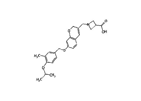 Cc1cc(COc2ccc3c(c2)OCC(CN2CC(C(=O)O)C2)=C3)ccc1OC(C)C